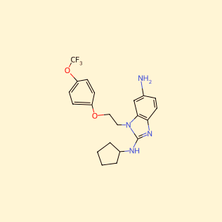 Nc1ccc2nc(NC3CCCC3)n(CCOc3ccc(OC(F)(F)F)cc3)c2c1